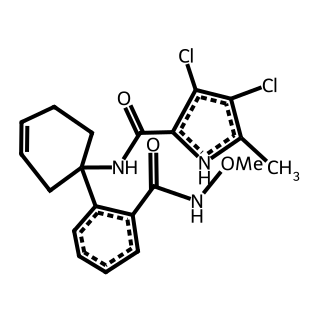 CONC(=O)c1ccccc1C1(NC(=O)c2[nH]c(C)c(Cl)c2Cl)CC=CCC1